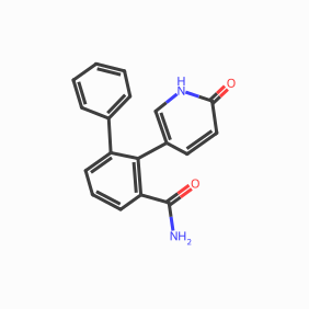 NC(=O)c1cccc(-c2ccccc2)c1-c1ccc(=O)[nH]c1